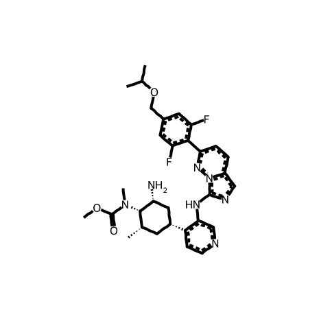 COC(=O)N(C)[C@@H]1[C@H](N)C[C@H](c2ccncc2Nc2ncc3ccc(-c4c(F)cc(COC(C)C)cc4F)nn23)C[C@@H]1C